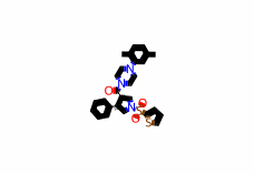 Cc1ccc(C)c(N2CCN(C(=O)[C@@H]3CN(S(=O)(=O)c4cccs4)C[C@@H]3c3ccccc3)CC2)c1